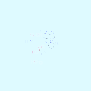 CN(Cc1cnc2nc(N)nc(N)c2n1)c1ccc(C(=O)N[C@@H](CCC(=O)O)C(=O)O)cc1.NCC(=O)O